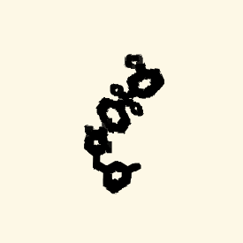 Cc1cccc(Cc2csc(N3CCC(S(=O)(=O)c4cccc(Cl)c4)CC3)n2)c1